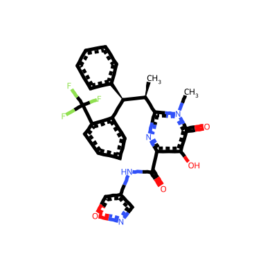 C[C@@H](c1nc(C(=O)Nc2cnoc2)c(O)c(=O)n1C)[C@H](c1ccccc1)c1ccccc1C(F)(F)F